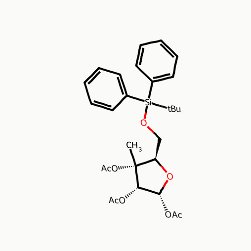 CC(=O)O[C@H]1O[C@H](CO[Si](c2ccccc2)(c2ccccc2)C(C)(C)C)[C@@](C)(OC(C)=O)[C@H]1OC(C)=O